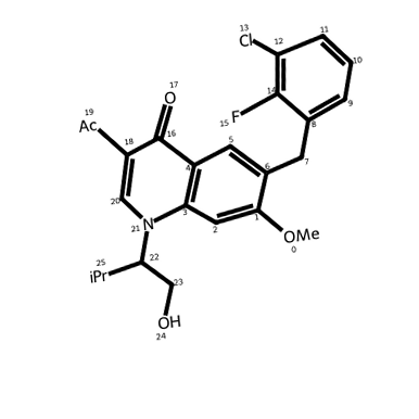 COc1cc2c(cc1Cc1cccc(Cl)c1F)c(=O)c(C(C)=O)cn2C(CO)C(C)C